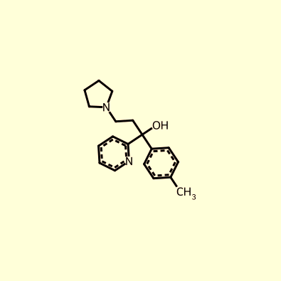 Cc1ccc(C(O)(CCN2CCCC2)c2ccccn2)cc1